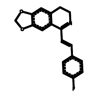 Fc1ccc(/C=C/C2=NCCc3cc4c(cc32)OCO4)cc1